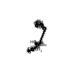 Cc1ncsc1-c1ccc([C@H](C)NC(=O)[C@H]2C[C@H](O)CN2C(=O)[C@@H](NC(=O)CCCCCCCCCCN2CCC[C@@H](Nc3ncc(Cl)c(Nc4ccccc4S(=O)(=O)C(C)C)n3)C2)C(C)(C)C)cc1